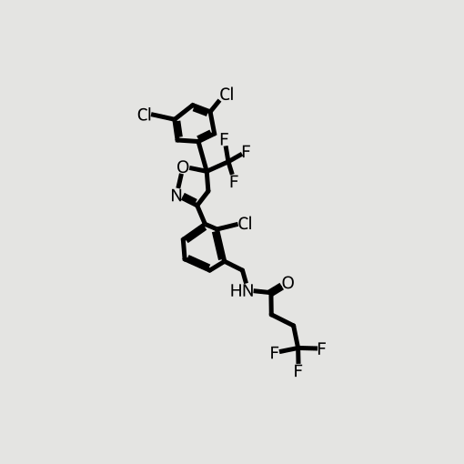 O=C(CCC(F)(F)F)NCc1cccc(C2=NOC(c3cc(Cl)cc(Cl)c3)(C(F)(F)F)C2)c1Cl